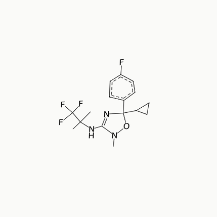 CN1OC(c2ccc(F)cc2)(C2CC2)N=C1NC(C)(C)C(F)(F)F